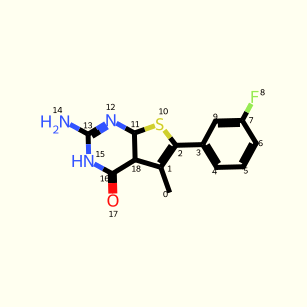 CC1=C(c2cccc(F)c2)SC2N=C(N)NC(=O)C12